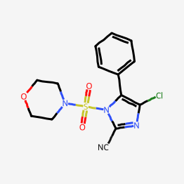 N#Cc1nc(Cl)c(-c2ccccc2)n1S(=O)(=O)N1CCOCC1